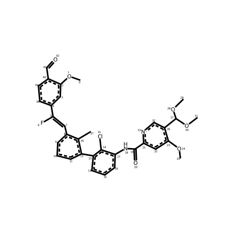 COc1cc(/C(F)=C/c2cccc(-c3cccc(NC(=O)c4cc(OC)c(C(OC)OC)cn4)c3Cl)c2C)ccc1C=O